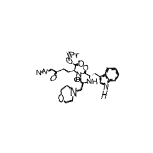 CC(C)OC(=O)[C@H](CCC(=O)C=[N+]=[N-])NC(=O)[C@H](Cc1c[nH]c2ccccc12)NC(=O)CN1CCOCC1